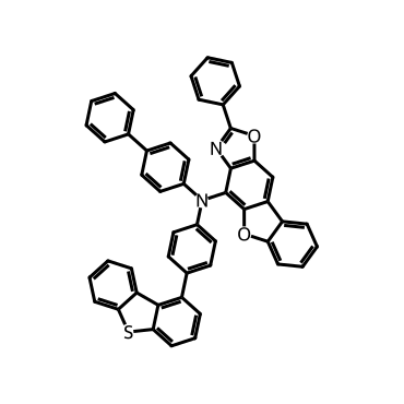 c1ccc(-c2ccc(N(c3ccc(-c4cccc5sc6ccccc6c45)cc3)c3c4nc(-c5ccccc5)oc4cc4c3oc3ccccc34)cc2)cc1